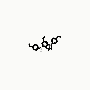 CCc1ccc(Nc2cc(CC)cc(Nc3ccc(CC)cc3)c2Cl)cc1